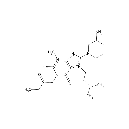 CCC(=O)Cn1c(=O)c2c(nc(N3CCCC(N)C3)n2CC=C(C)C)n(C)c1=O